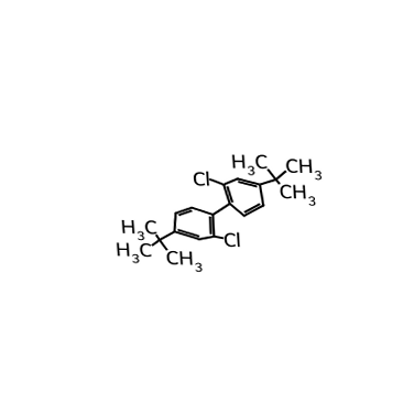 CC(C)(C)c1ccc(-c2ccc(C(C)(C)C)cc2Cl)c(Cl)c1